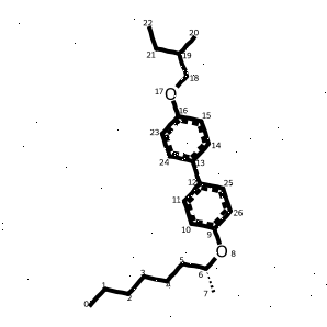 CCCCCC[C@@H](C)Oc1ccc(-c2ccc(OCC(C)CC)cc2)cc1